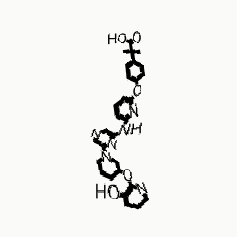 CC(C)(C(=O)O)c1ccc(Oc2cccc(Nc3cncc(N4CCCC(OC5=C(O)CCC=N5)C4)n3)n2)cc1